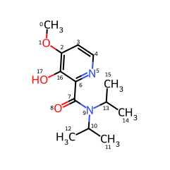 COc1ccnc(C(=O)N(C(C)C)C(C)C)c1O